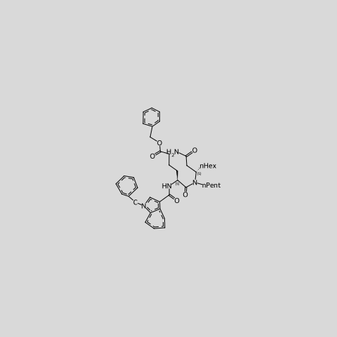 CCCCCC[C@@H](CC(N)=O)N(CCCCC)C(=O)[C@H](CCCC(=O)OCc1ccccc1)NC(=O)c1cn(Cc2ccccc2)c2ccccc12